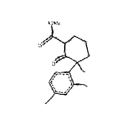 COC(=O)C1CCCC(C)(c2ccc(C)cc2C)C1=O